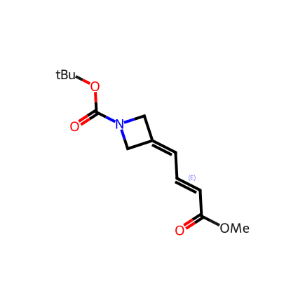 COC(=O)/C=C/C=C1CN(C(=O)OC(C)(C)C)C1